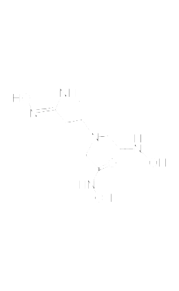 N/C(CCN(CCNO)CC(=O)NO)=N\O